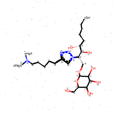 CCCCCCCCCCCCCC[C@@H](O)[C@@H](O)[C@H](COC1OC(CO)C(O)C(O)C1O)n1cc(CCCCCN(CCCCCCC)CCCCCCC)nn1